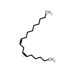 CCCCC/C=C\C/C=C\CCCCCCCC